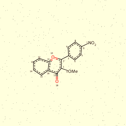 COc1c(-c2ccc([N+](=O)[O-])cc2)oc2ccccc2c1=O